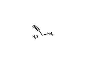 C#CCN.S